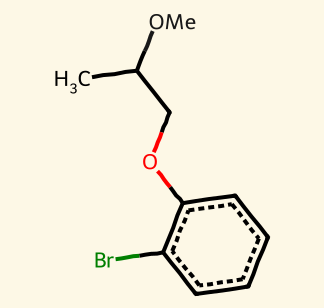 COC(C)COc1ccccc1Br